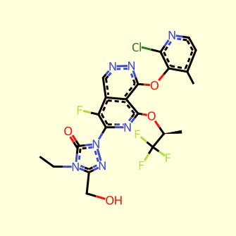 CCn1c(CO)nn(-c2nc(O[C@@H](C)C(F)(F)F)c3c(Oc4c(C)ccnc4Cl)nncc3c2F)c1=O